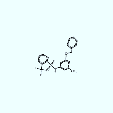 Cc1cc(NS(=O)(=O)c2ccccc2C(F)(F)F)cc(OCc2ccccc2)c1